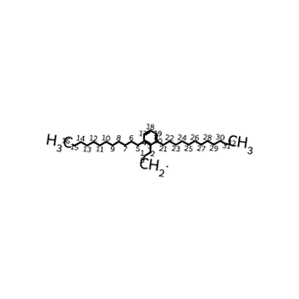 [CH2]CCc1c(CCCCCCCCCCCC)cccc1CCCCCCCCCCCC